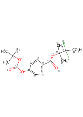 CCC(C)(C)OC(=O)Oc1ccc(C(=O)OC(C)(C)C(F)(F)C(=O)O)cc1